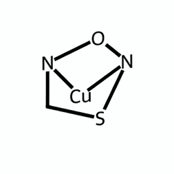 C1S[N]2O[N]1[Cu]2